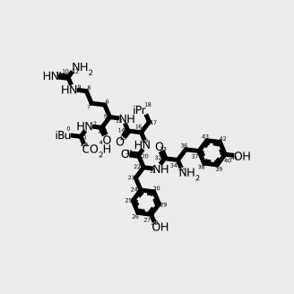 CCC(C)C(NC(=O)C(CCCNC(=N)N)NC(=O)C(CC(C)C)NC(=O)C(Cc1ccc(O)cc1)NC(=O)C(N)Cc1ccc(O)cc1)C(=O)O